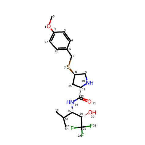 COc1ccc(CS[C@H]2CN[C@H](C(=O)N[C@@H](C(C)C)[C@H](O)C(F)(F)F)C2)cc1